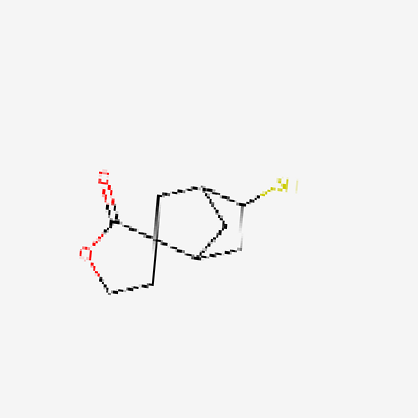 O=C1OCCC12CC1CC2CC1S